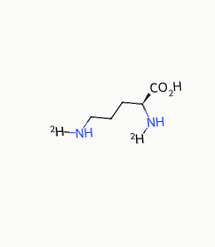 [2H]NCCC[C@H](N[2H])C(=O)O